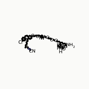 CN(C/C=C/C#N)CCCCN1C2=CC=C(OCCOCc3cn(CCOCCOCCOCCC(CCCC(N)=O)[C@@H]4SC[C@@H]5NC(=O)N[C@@H]54)nn3)CC2=CCc2ccc(Cl)cc21